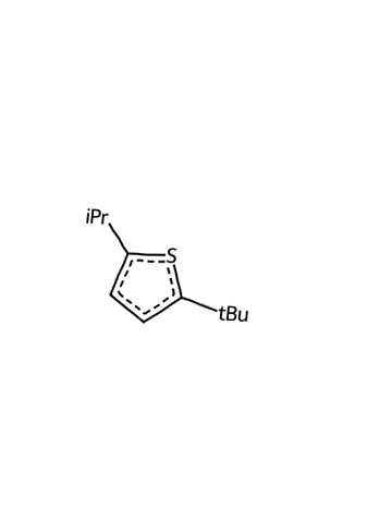 CC(C)c1ccc(C(C)(C)C)s1